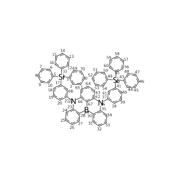 c1ccc([Si](c2ccccc2)(c2ccccc2)c2cccc(N3c4ccccc4B4c5ccccc5N(c5cccc([Si](c6ccccc6)(c6ccccc6)c6ccccc6)c5)c5cccc3c54)c2)cc1